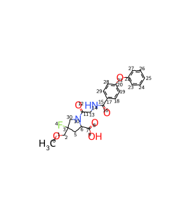 COCC1(F)CC(C(=O)O)N(C(=O)CNC(=O)c2ccc(Oc3ccccc3)cc2)C1